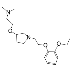 CCOc1ccccc1OCCN1CCC(OCCN(C)C)C1